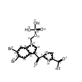 CCC(=O)c1csc(C(=O)c2cn(COP(=O)(O)O)c3cc(Br)c(Br)cc23)n1